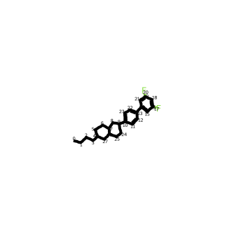 CCCCC1CCC2CC(c3ccc(-c4cc(F)cc(F)c4)cc3)CCC2C1